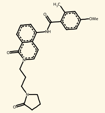 COc1ccc(C(=O)Nc2cccc3c(=O)n(CCCN4CCCC4=O)ccc23)c(C)c1